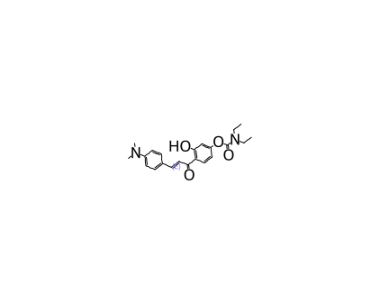 CCN(CC)C(=O)Oc1ccc(C(=O)/C=C/c2ccc(N(C)C)cc2)c(O)c1